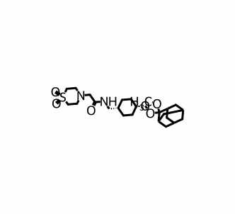 COC1(OO[C@H]2CC[C@@H](CNC(=O)CN3CCS(=O)(=O)CC3)CC2)C2CC3CC(C2)CC1C3